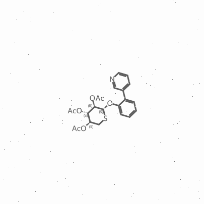 CC(=O)O[C@@H]1[C@@H](OC(C)=O)[C@@H](Oc2ccccc2-c2cccnc2)SC[C@H]1OC(C)=O